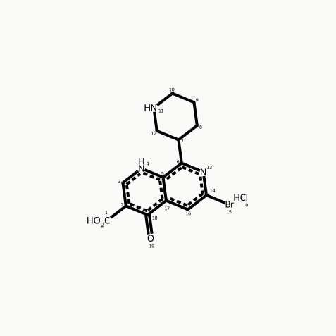 Cl.O=C(O)c1c[nH]c2c(C3CCCNC3)nc(Br)cc2c1=O